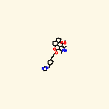 COC(=O)C1=C(C)NC(C)=C(C(=O)OCC=Cc2ccc(Cn3ccnc3)cc2)C1c1cccc2ccccc12